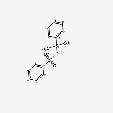 CS(C)(OS(=O)(=O)c1ccccc1)c1ccccc1